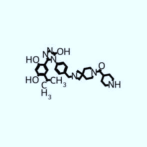 CC(C)c1cc(-c2nnc(O)n2-c2ccc(CN3CC4(CCN(C(=O)C5CCNCC5)CC4)C3)cc2)c(O)cc1O